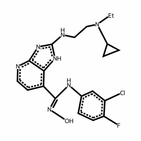 CCN(CCNc1nc2nccc(/C(=N/O)Nc3ccc(F)c(Cl)c3)c2[nH]1)C1CC1